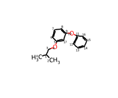 CC(C)COc1cccc(Oc2ccccc2)c1